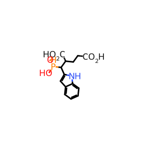 O=C(O)CCC(C(=O)O)C(c1cc2ccccc2[nH]1)[PH](=O)O